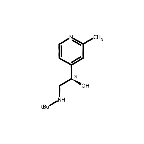 Cc1cc([C@@H](O)CNC(C)(C)C)ccn1